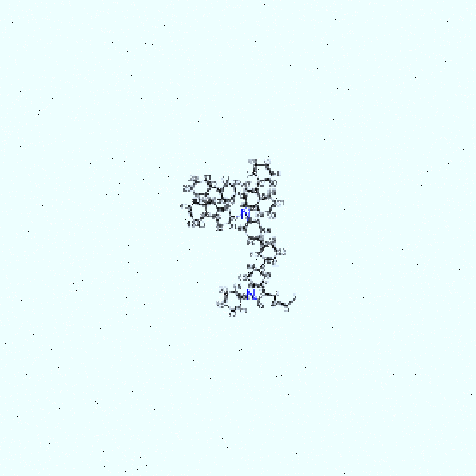 C=c1/c(=C\C=C/C)c2cc(-c3cccc(-c4ccc(N(c5ccc6c(c5)C5(c7ccccc7-c7ccccc75)c5ccccc5-6)c5ccc(-c6ccccc6)c6ccccc56)cc4)c3)ccc2n1-c1ccccc1